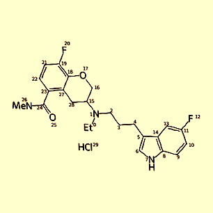 CCN(CCCc1c[nH]c2ccc(F)cc12)C1COc2c(F)ccc(C(=O)NC)c2C1.Cl